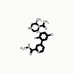 CNC(=O)c1cc(-c2cc(Cl)cc([C@@H]3CNC[C@@H](C)N3C(C)=O)c2F)ccn1